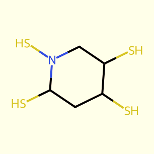 SC1CC(S)N(S)CC1S